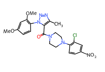 COc1ccc(-n2nnc(C)c2C(=O)N2CCN(c3ccc([N+](=O)[O-])cc3Cl)CC2)c(OC)c1